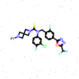 CC(C)N1CC2(CN(C(=S)N(Cc3ccc(-c4nnc(C(F)F)o4)cc3F)c3ccc(F)c(Cl)c3)C2)C1